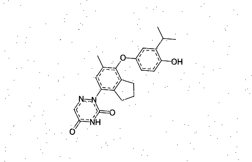 Cc1cc(-n2ncc(=O)[nH]c2=O)c2c(c1Oc1ccc(O)c(C(C)C)c1)CCC2